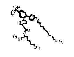 CCCCCCCCCCOc1ccc(-c2ccc(C(=O)O)cc2-c2ccc(C(=O)OC(C)CCCCCC)cc2)cc1